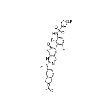 CCN(c1ccc2c(c1)CN(C(C)=O)C2)c1ncc2cc(-c3c(F)ccc(NS(=O)(=O)N4CC[C@@H](F)C4)c3F)c(=O)n(C)c2n1